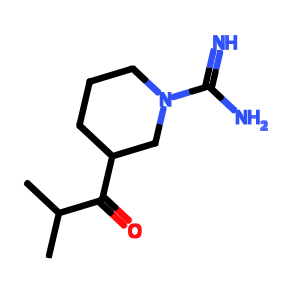 CC(C)C(=O)C1CCCN(C(=N)N)C1